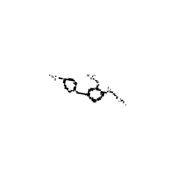 CNc1ccc(Cc2ccc(C)cc2)cc1OC